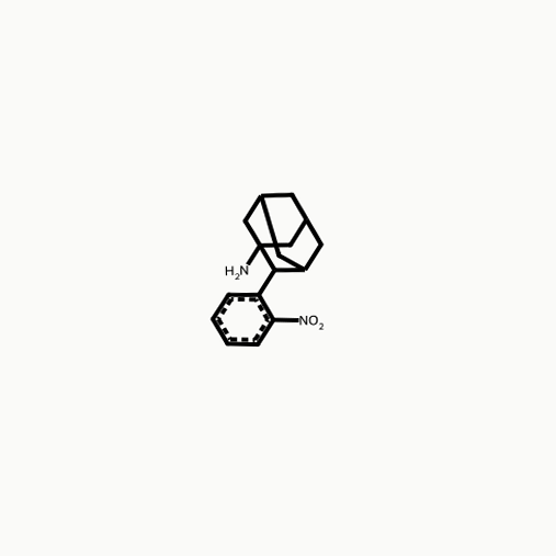 NC12CC3CC(CC(C3)C1c1ccccc1[N+](=O)[O-])C2